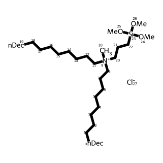 CCCCCCCCCCCCCCCCCC[N+](C)(CCCCCCCCCCCCCCCCCC)CCC[Si](OC)(OC)OC.[Cl-]